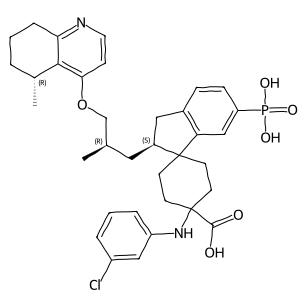 C[C@@H](COc1ccnc2c1[C@H](C)CCC2)C[C@H]1Cc2ccc(P(=O)(O)O)cc2C12CCC(Nc1cccc(Cl)c1)(C(=O)O)CC2